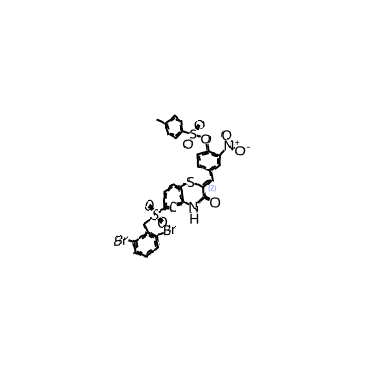 Cc1ccc(S(=O)(=O)Oc2ccc(/C=C3\Sc4ccc(S(=O)(=O)Cc5c(Br)cccc5Br)cc4NC3=O)cc2[N+](=O)[O-])cc1